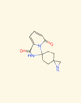 O=C1NC2(CCC3(CC2)CN3)n2c1cccc2=O